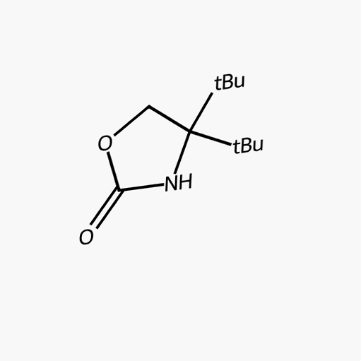 CC(C)(C)C1(C(C)(C)C)COC(=O)N1